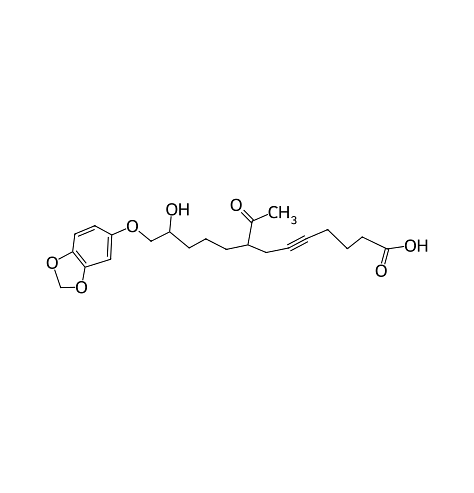 CC(=O)C(CC#CCCCC(=O)O)CCCC(O)COc1ccc2c(c1)OCO2